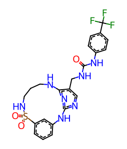 O=C(NCc1cnc2nc1NCCCNS(=O)(=O)c1cccc(c1)N2)Nc1ccc(C(F)(F)F)cc1